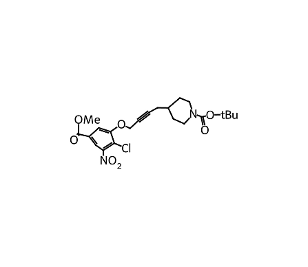 COC(=O)c1cc(OCC#CCC2CCN(C(=O)OC(C)(C)C)CC2)c(Cl)c([N+](=O)[O-])c1